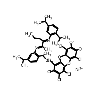 CCCC(=Nc1cc(C(C)C)ccc1C(C)C)C(C)=Nc1cc(C(C)C)ccc1C(C)C.[Ni+2].[O-]c1c([O-])c(Cl)c2c(c1Cl)Oc1c(Cl)c(Cl)c(Cl)c(Cl)c1O2